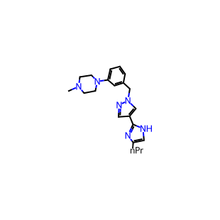 CCCc1c[nH]c(-c2cnn(Cc3cccc(N4CCN(C)CC4)c3)c2)n1